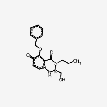 CCCN1C(=O)c2c(OCc3ccccc3)c(=O)ccn2N[C@@H]1CO